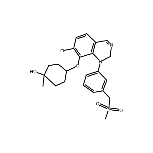 CC1(O)CCC(Oc2c(Cl)ccc3c2N(c2cccc(CS(C)(=O)=O)c2)CN=C3)CC1